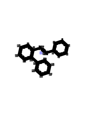 [c]1ccccc1/N=N/c1[c]cccc1-c1ccccc1